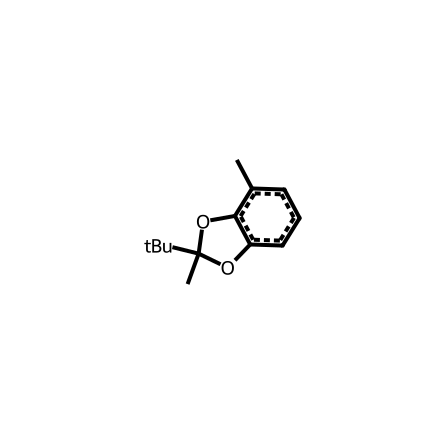 Cc1cccc2c1OC(C)(C(C)(C)C)O2